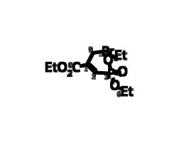 CCOC(=O)C(=CP(=O)(OCC)OCC)CBr